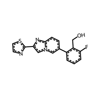 OCc1c(F)cccc1-c1ccc2nc(-c3nccs3)cn2c1